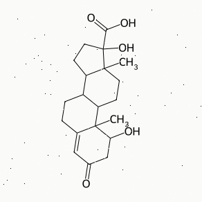 CC12C(=CC(=O)CC1O)CCC1C2CCC2(C)C1CCC2(O)C(=O)O